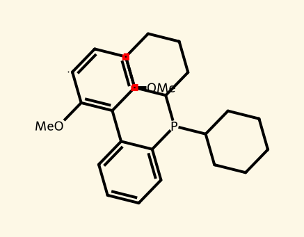 COc1[c]ccc(OC)c1-c1ccccc1P(C1CCCCC1)C1CCCCC1